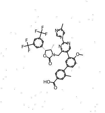 COc1ccc(-c2ccc(C(=O)O)cc2C)cc1-c1cnc(-n2cnc(C)c2)nc1CN1C(=O)O[C@H](c2cc(C(F)(F)F)cc(C(F)(F)F)c2)[C@@H]1C